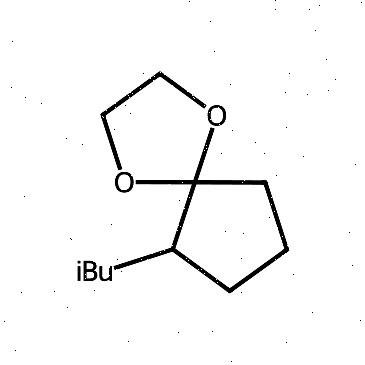 CCC(C)C1CCCC12OCCO2